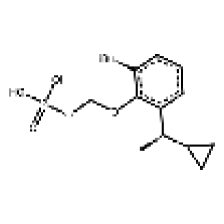 CC[C@H](C)c1cccc([C@H](C)C2CC2)c1OCOP(=O)(O)O